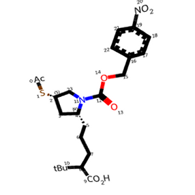 CC(=O)S[C@H]1C[C@@H](CCCC(C(=O)O)C(C)(C)C)N(C(=O)OCc2ccc([N+](=O)[O-])cc2)C1